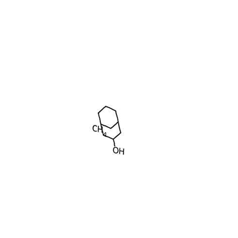 C.OC1CC2CCCC(C1)C2